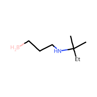 BCCCNC(C)(C)CC